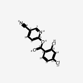 N#Cc1[c]nc(OC(=O)c2ccc(Cl)cc2Cl)cc1